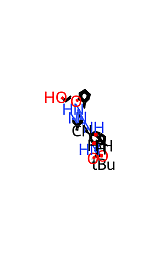 CC(C)(C)OC(=O)N[C@@H]1[C@@H]2CC3C[C@H]1C[C@@](CNc1nc(NCc4ccccc4OCCO)ncc1C#N)(C3)C2